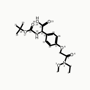 CCN(OC)C(=O)COc1ccc([C@@H](NC(=O)OC(C)(C)C)C(=O)O)cc1